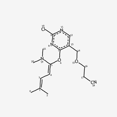 CC(C)=C/C=C(/Oc1nc(Cl)ncc1COCCC#N)N(C)C